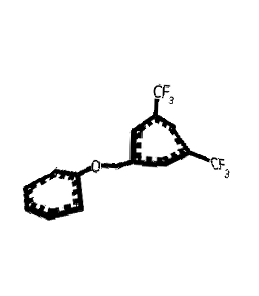 FC(F)(F)c1cc(COc2[c]cccc2)cc(C(F)(F)F)c1